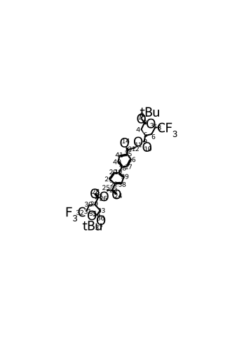 CC(C)(C)OC(=O)C[C@@H](CCC(F)(F)F)C(=O)OCC(=O)c1ccc(-c2ccc(C(=O)COC(=O)[C@H](CCC(F)(F)F)CC(=O)OC(C)(C)C)cc2)cc1